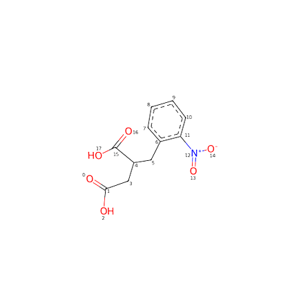 O=C(O)CC(Cc1ccccc1[N+](=O)[O-])C(=O)O